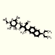 CCN(CC)c1ccc2cc(/C(C)=C(\C#N)C(=O)N[C@H]3C(O)O[C@H](CO)[C@@H](O)[C@@H]3O)ccc2c1